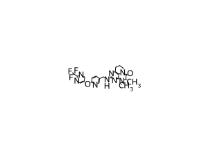 CC1C(=O)N2CCCc3nc(NCc4ccc(Oc5cnc(C(F)(F)F)nc5)nc4)nc(c32)N1C